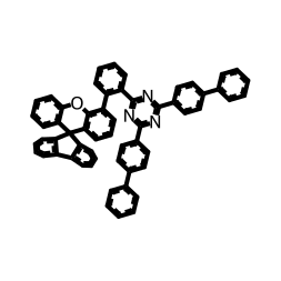 c1ccc(-c2ccc(-c3nc(-c4ccc(-c5ccccc5)cc4)nc(-c4ccccc4-c4cccc5c4Oc4ccccc4C54c5ccccc5-c5ccccc54)n3)cc2)cc1